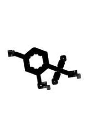 CCc1ccc(S(N)(=O)=O)c(C)c1